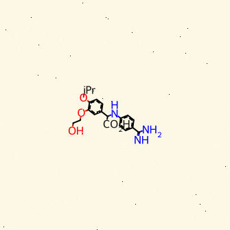 CC(C)Oc1ccc(C(Nc2ccc(C(=N)N)cc2)C(=O)O)cc1OCCO